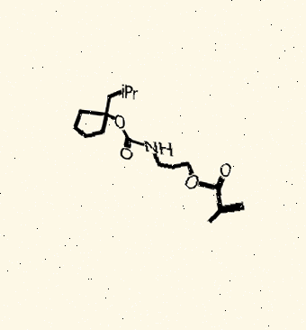 C=C(C)C(=O)OCCNC(=O)OC1(CC(C)C)CCCC1